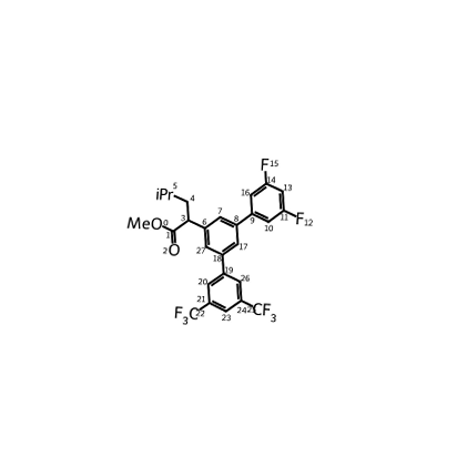 COC(=O)C(CC(C)C)c1cc(-c2cc(F)cc(F)c2)cc(-c2cc(C(F)(F)F)cc(C(F)(F)F)c2)c1